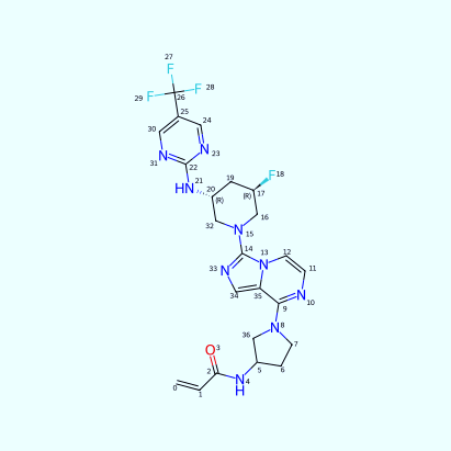 C=CC(=O)NC1CCN(c2nccn3c(N4C[C@H](F)C[C@@H](Nc5ncc(C(F)(F)F)cn5)C4)ncc23)C1